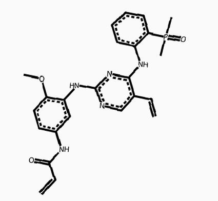 C=CC(=O)Nc1ccc(OC)c(Nc2ncc(C=C)c(Nc3ccccc3P(C)(C)=O)n2)c1